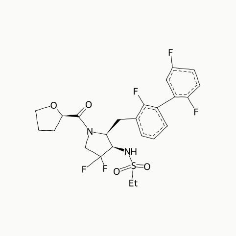 CCS(=O)(=O)N[C@@H]1[C@H](Cc2cccc(-c3cc(F)ccc3F)c2F)N(C(=O)[C@H]2CCCO2)CC1(F)F